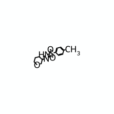 Cc1ccc(S(=O)(=O)N/N=C2\CCCOC2)cc1